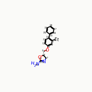 CCc1cc(OC[C@@H]2CN=C(N)O2)ccc1-c1ccccc1